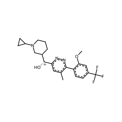 COc1cc(C(F)(F)F)ccc1-c1nnc([C@H](O)C2CCCN(C3CC3)C2)cc1C